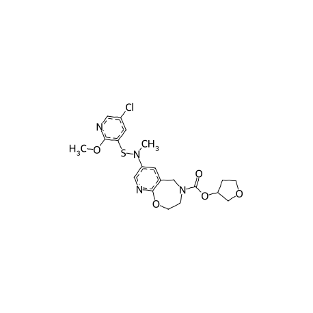 COc1ncc(Cl)cc1SN(C)c1cnc2c(c1)CN(C(=O)OC1CCOC1)CCO2